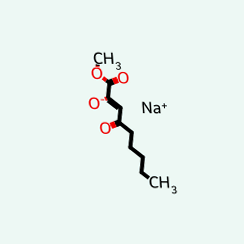 CCCCCC(=O)C=C([O-])C(=O)OC.[Na+]